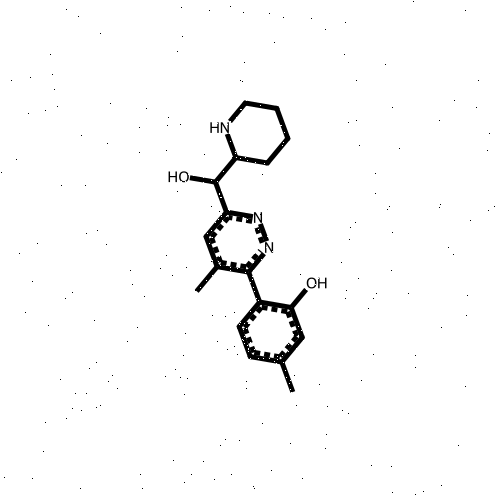 Cc1ccc(-c2nnc(C(O)C3CCCCN3)cc2C)c(O)c1